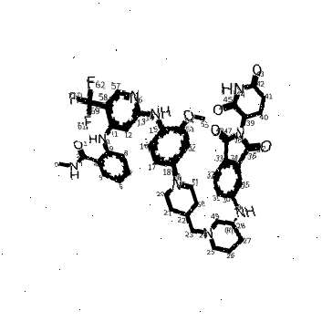 CNC(=O)c1ccccc1Nc1cc(Nc2ccc(N3CCC(CN4CCC[C@@H](Nc5ccc6c(c5)C(=O)N(C5CCC(=O)NC5=O)C6=O)C4)CC3)cc2OC)ncc1C(F)(F)F